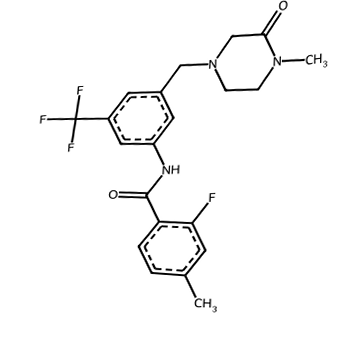 Cc1ccc(C(=O)Nc2cc(CN3CCN(C)C(=O)C3)cc(C(F)(F)F)c2)c(F)c1